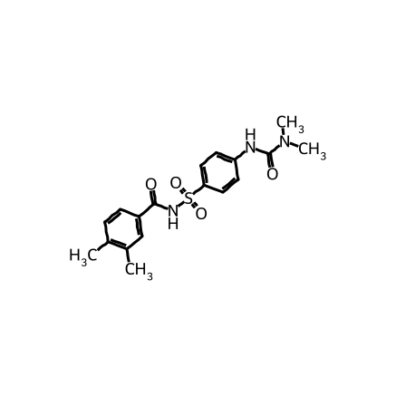 Cc1ccc(C(=O)NS(=O)(=O)c2ccc(NC(=O)N(C)C)cc2)cc1C